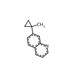 CC1(c2ccc3cccnc3c2)CC1